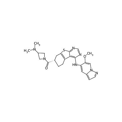 COc1cn2nccc2cc1Nc1ncnc2sc3c(c12)CC[C@H](C(=O)N1CC(N(C)C)C1)C3